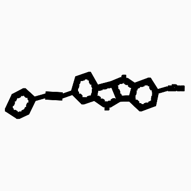 CCCCCCCCCCc1ccc2c(c1)sc1c3ccc(C#Cc4ccccc4)cc3sc21